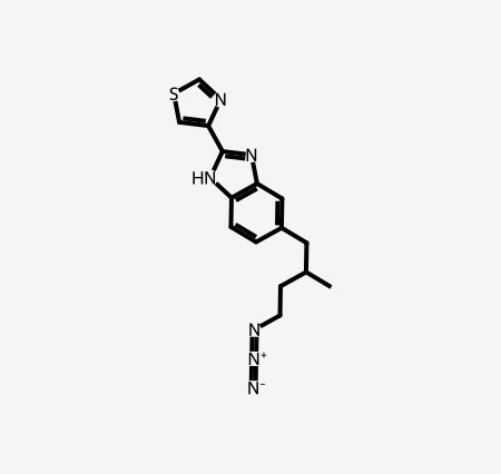 CC(CCN=[N+]=[N-])Cc1ccc2[nH]c(-c3cscn3)nc2c1